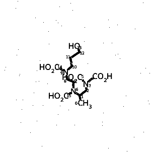 CC(CN(C(=O)O)C(=O)O)N(CCN(CCCO)C(=O)O)C(=O)O